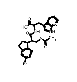 CC(=O)SCC(C(=O)NC(Cc1c[nH]c2ncccc12)C(=O)O)C1CCc2cc(Br)ccc21